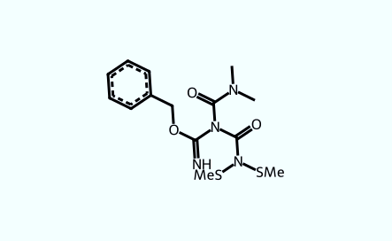 CSN(SC)C(=O)N(C(=N)OCc1ccccc1)C(=O)N(C)C